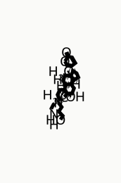 C[C@]12CC[C@H](N3CCNC(CO)C3)C[C@@]1(O)CC[C@@H]1[C@@H]2CC[C@]2(C)[C@@H](c3ccc(=O)oc3)CC[C@]12O